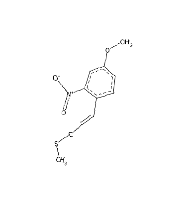 COc1ccc(/C=C/CSC)c([N+](=O)[O-])c1